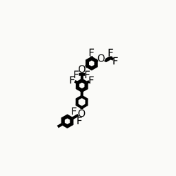 Cc1ccc(C(F)(F)OC2CCC(c3cc(F)c(C(F)(F)Oc4ccc(OC=C(F)F)c(F)c4)c(F)c3)CC2)cc1